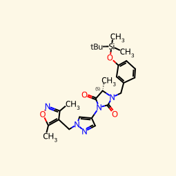 Cc1noc(C)c1Cn1cc(N2C(=O)[C@H](C)N(Cc3cccc(O[Si](C)(C)C(C)(C)C)c3)C2=O)cn1